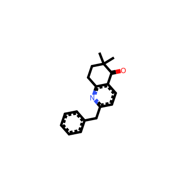 CC1(C)CCc2nc(Cc3ccccc3)ccc2C1=O